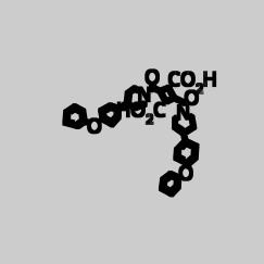 O=C(O)C1C(C(=O)N2CC=C(c3ccc(Oc4ccccc4)cc3)CC2)C(C(=O)O)C1C(=O)N1CC=C(c2ccc(Oc3ccccc3)cc2)CC1